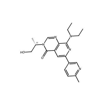 CCN(CC)c1nc(-c2ccc(C)nc2)cc2c(=O)n([C@@H](C)CO)cnc12